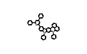 c1ccc(-c2cc(-c3ccccc3)nc(-c3ccc4c(c3)c3cc5c(cc3n4-c3ccccc3)N(c3ccccc3)c3cccc4cccc-5c34)c2)cc1